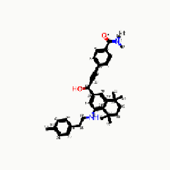 CCN(C)C(=O)c1ccc(C#CC(O)c2cc(NCCc3ccc(C)cc3)c3c(c2)C(C)(C)CCC3(C)C)cc1